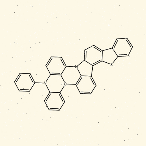 c1ccc(N2c3ccccc3B3c4c2cccc4-n2c4ccc5c6ccccc6sc5c4c4cccc3c42)cc1